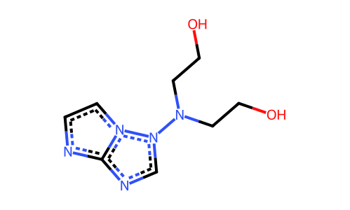 OCCN(CCO)n1cnc2nccn21